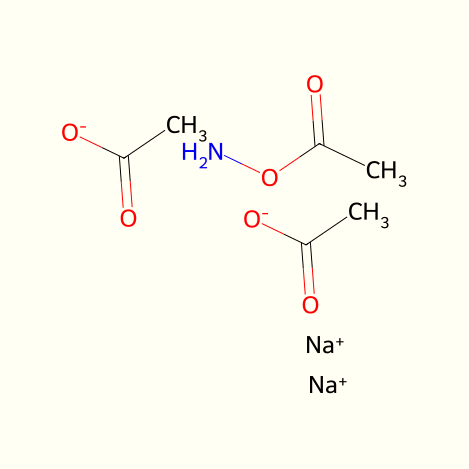 CC(=O)ON.CC(=O)[O-].CC(=O)[O-].[Na+].[Na+]